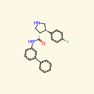 O=C(Nc1cccc(-c2ccccc2)c1)[C@@H]1CNC[C@H]1c1ccc(F)cc1